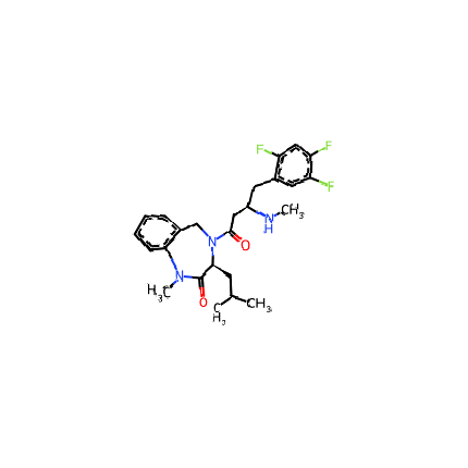 CN[C@@H](CC(=O)N1Cc2ccccc2N(C)C(=O)[C@@H]1CC(C)C)Cc1cc(F)c(F)cc1F